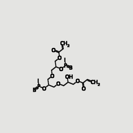 B#P(I)OC(COCC(O)COC(=O)C=C)COCC(COC(=O)C=C)OP(#B)I